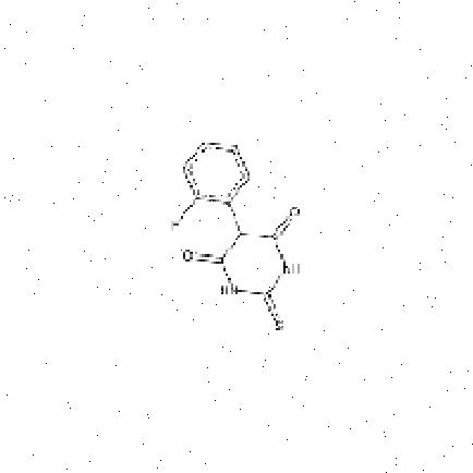 O=C1NC(=S)NC(=O)C1c1ccccc1F